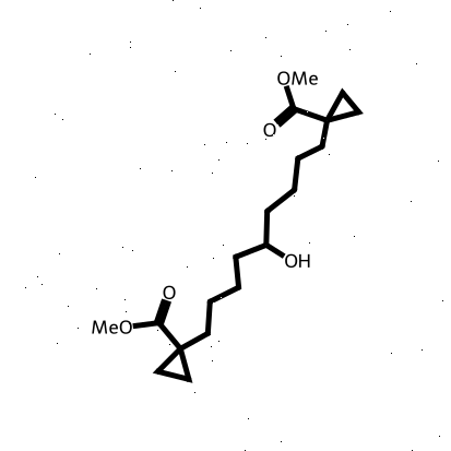 COC(=O)C1(CCCCC(O)CCCCC2(C(=O)OC)CC2)CC1